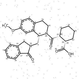 COc1ccc2c(c1)[C@@H](CN1Cc3ccccc3C1=O)N(C(=O)[C@@H]1CCCC[C@@H]1C(=O)O)CC2